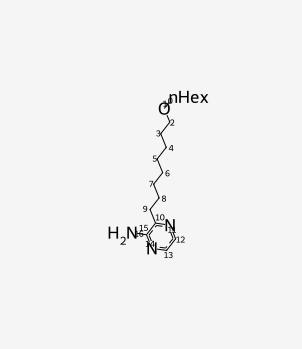 CCCCCCOCCCCCCCCc1nccnc1N